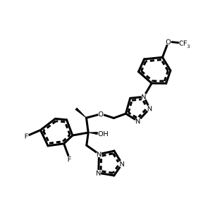 C[C@@H](OCc1cn(-c2ccc(OC(F)(F)F)cc2)nn1)[C@](O)(Cn1cncn1)c1ccc(F)cc1F